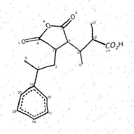 CC(CC1C(=O)OC(=O)C1C(C)C(C)C(=O)O)c1ccccc1